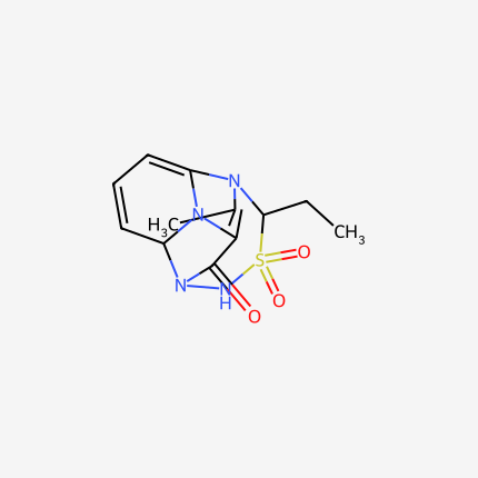 CCC1N2C3=CC=CC4N(NS1(=O)=O)C(=O)C(=C2C)N34